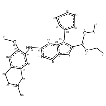 CCOC(OCC)c1cc2cnc(Nc3cc4c(cc3OC)CCN(C)C4)nc2n1-c1ccccc1